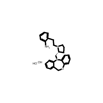 Cl.Cl.Nc1ccccc1CCN1CCC[C@@H]1CN1c2ccccc2COc2ccccc21